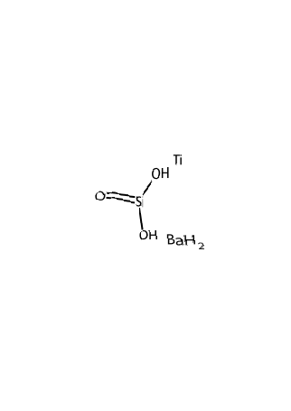 O=[Si](O)O.[BaH2].[Ti]